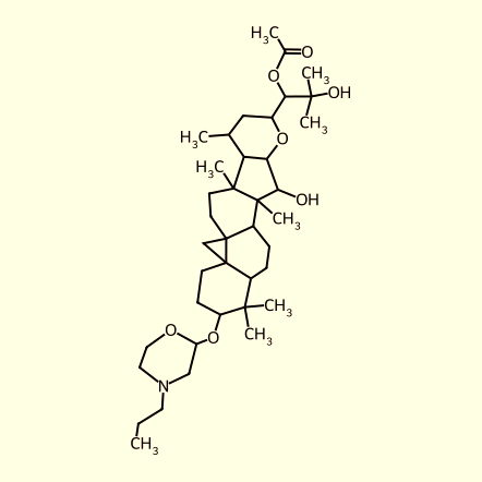 CCCN1CCOC(OC2CCC34CC35CCC3(C)C6C(C)CC(C(OC(C)=O)C(C)(C)O)OC6C(O)C3(C)C5CCC4C2(C)C)C1